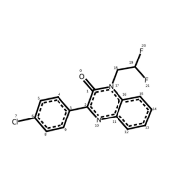 O=c1c(-c2ccc(Cl)cc2)nc2ccccc2n1CC(F)F